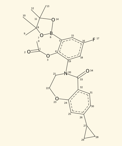 CC(=O)Oc1c(B2OC(C)(C)C(C)(C)O2)cc(F)cc1N1CCOc2cc(C3CC3)ccc2C1=O